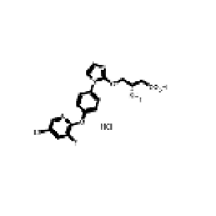 Cl.N[C@H](COc1nccn1-c1ccc(Oc2ncc(Cl)cc2F)cc1)CC(=O)O